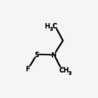 CCN(C)SF